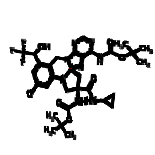 CC(C)(C)OC(=O)Nc1ncnc2c1ncn2Cc1c(C(O)C(F)(F)F)cc(Cl)cc1N1CC[C@](NC(=O)OC(C)(C)C)(C(=O)NC2CC2)C1